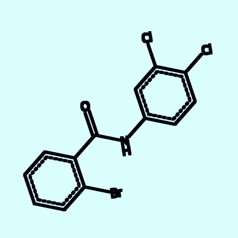 O=C(Nc1ccc(Cl)c(Cl)c1)c1ccccc1Br